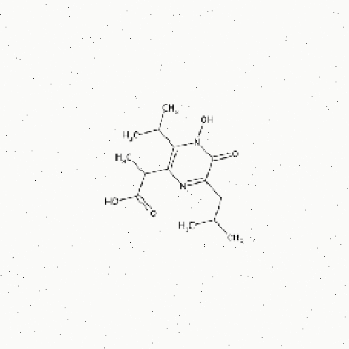 CC(C)Cc1nc(C(C)C(=O)O)c(C(C)C)n(O)c1=O